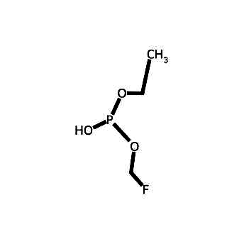 CCOP(O)OCF